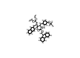 CCOC(CN(Cc1ccc2ccccc2c1)C(=O)C(Cc1ccc(OC(C)(C)C)cc1)NC(=O)OCC1c2ccccc2-c2ccccc21)OCC